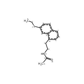 CCSc1ccc2cccc(CCNC(C)=O)c2c1